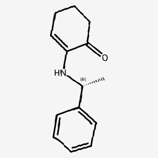 C[C@@H](NC1=CCCCC1=O)c1ccccc1